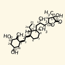 C=C1/C(=C\C=C2/CCC[C@]3(C)[C@@H]([C@H](C)C[C@H]4C[C@@](C)(O)C(=O)O4)CC[C@@H]23)C[C@@H](O)C[C@@H]1O